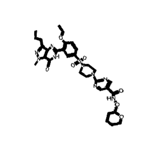 CCCc1nn(C)c2c(=O)[nH]c(-c3cc(S(=O)(=O)N4CCN(c5ncc(C(=O)NOC6CCCCO6)cn5)CC4)ccc3OCC)nc12